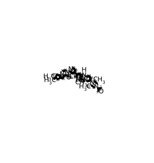 C[C@H]1CN(C2COC2)C[C@H](C)N1c1ccc(Nc2cc(-c3ccnc(-n4ccn5c6c(cc5c4=O)CC(C)(C)C6)c3C=O)cn(C)c2=O)nc1